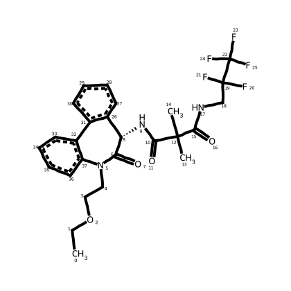 CCOCCN1C(=O)[C@@H](NC(=O)C(C)(C)C(=O)NCC(F)(F)C(F)(F)F)c2ccccc2-c2ccccc21